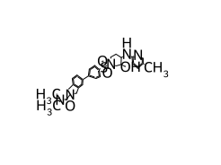 Cc1ccc(N[C@@H]2CCN(S(=O)(=O)c3ccc(-c4ccc5c(c4)CN(C(=O)N(C)C)C5)cc3)C[C@@H]2O)nc1